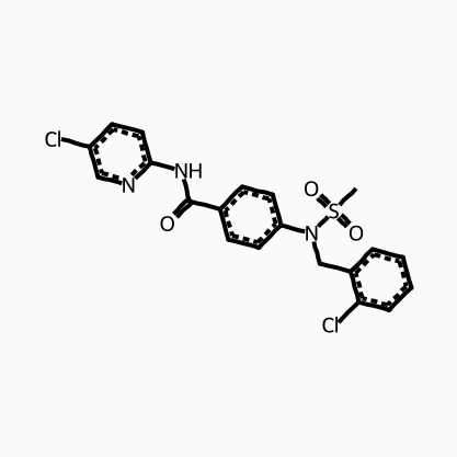 CS(=O)(=O)N(Cc1ccccc1Cl)c1ccc(C(=O)Nc2ccc(Cl)cn2)cc1